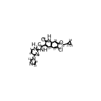 C[C@H](Nc1nccc(-n2ccnc2)n1)c1cc2cc(Cl)c(OCC3CC3)cc2[nH]c1=O